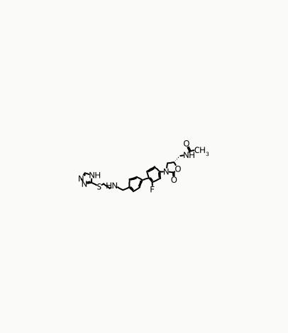 CC(=O)NC[C@H]1CN(c2ccc(-c3ccc(CNCCSc4nnc[nH]4)cc3)c(F)c2)C(=O)O1